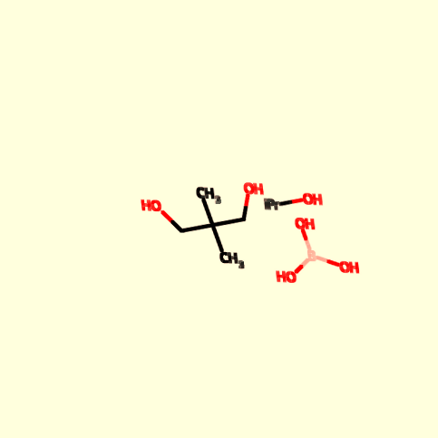 CC(C)(CO)CO.CC(C)O.OB(O)O